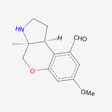 COc1cc(C=O)c2c(c1)OC[C@@]1(C)NCC[C@@H]21